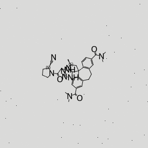 C[C@@H](CC1(c2nnn[nH]2)c2ccc(C(=O)N(C)C)cc2CCc2cc(C(=O)N(C)C)ccc21)NCC(=O)N1CCC[C@H]1C#N